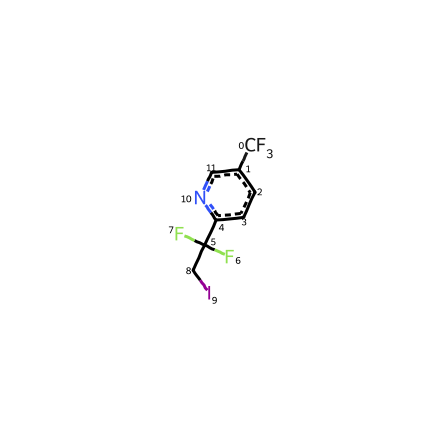 FC(F)(F)c1ccc(C(F)(F)CI)nc1